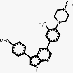 COc1ccc(-c2c[nH]c3ncc(-c4ccc(N5CCN(C)CC5)c(C)c4)cc23)cc1